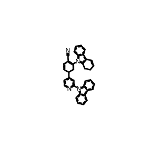 N#CC1=C(n2c3c(c4ccccc42)C=CCC3)CC(c2ccnc(-n3c4ccccc4c4ccccc43)c2)C=C1